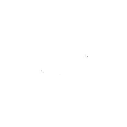 C[C@@H](N)c1ccc(C#N)cc1.Cl